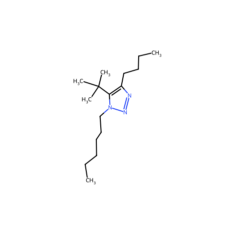 CCCCCCn1nnc(CCCC)c1C(C)(C)C